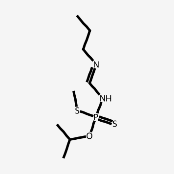 CCCN=CNP(=S)(OC(C)C)SC